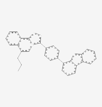 CCCc1cn2c(-c3ccc(-c4cccc5c4oc4ccccc45)cc3)nnc2c2ccccc12